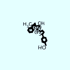 C[C@]1(c2ccccc2)C[C@@]1(NS(=O)(=O)c1ccc(-c2ccc(CO)cc2)s1)C(=O)O